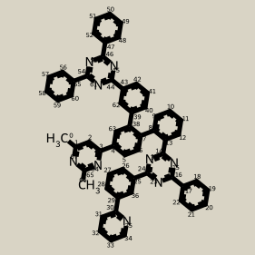 Cc1cc(-c2ccc(-c3ccccc3-c3nc(-c4ccccc4)nc(-c4cccc(-c5ccccn5)c4)n3)c(-c3cccc(-c4nc(-c5ccccc5)nc(-c5ccccc5)n4)c3)c2)nc(C)n1